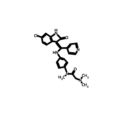 CN(C)CC(=O)N(C)c1ccc(NC(=C2C(=O)Nc3cc(Cl)ccc32)c2ccncc2)cc1